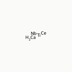 [CaH2].[Ce].[Nb].[Ti]